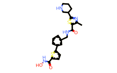 Cc1nc(C2CCCNC2)sc1C(=O)NCc1cccc(-c2ccc(C(=O)NO)s2)c1